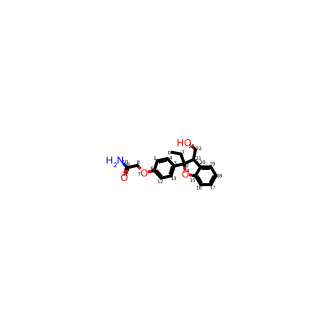 CCC1(c2ccc(OCC(N)=O)cc2)Oc2ccccc2C1CO